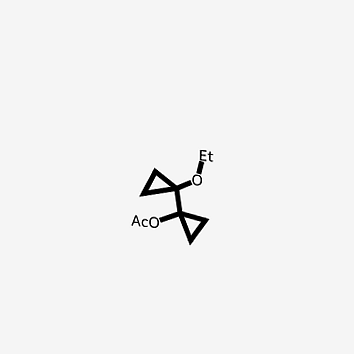 CCOC1(C2(OC(C)=O)CC2)CC1